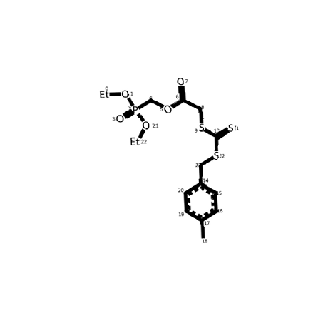 CCOP(=O)(COC(=O)CSC(=S)SCc1ccc(C)cc1)OCC